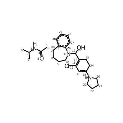 CC(C)NC(=O)C[C@H]1CCCN(C(O)C2=C(Cl)C=C(N3CCCC3)CC2)c2ccccc21